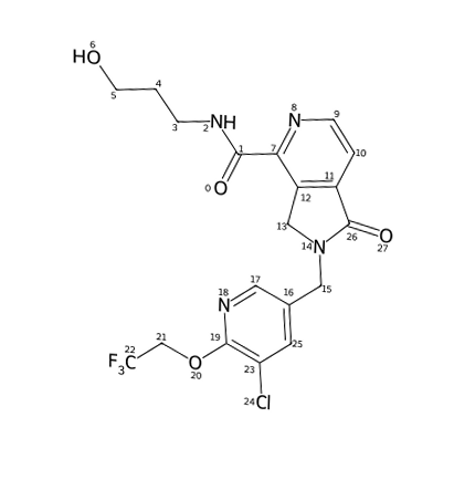 O=C(NCCCO)c1nccc2c1CN(Cc1cnc(OCC(F)(F)F)c(Cl)c1)C2=O